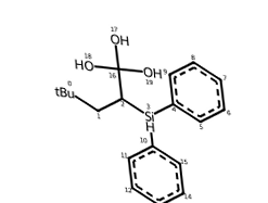 CC(C)(C)CC([SiH](c1ccccc1)c1ccccc1)C(O)(O)O